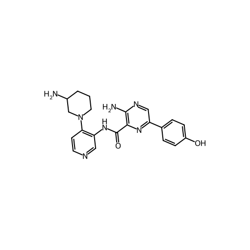 Nc1ncc(-c2ccc(O)cc2)nc1C(=O)Nc1cnccc1N1CCCC(N)C1